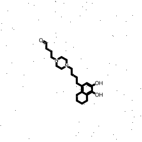 O=[C]CCCN1CCN(CCCCc2cc(O)c(O)c3c2CCCC3)CC1